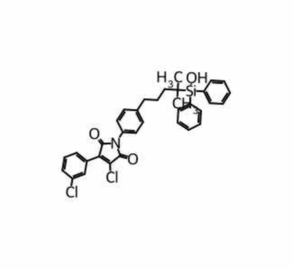 CC(C)(CCCc1ccc(N2C(=O)C(Cl)=C(c3cccc(Cl)c3)C2=O)cc1)[Si](O)(c1ccccc1)c1ccccc1